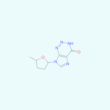 CC1CCC(n2cnc3c(=O)[nH]nnc32)O1